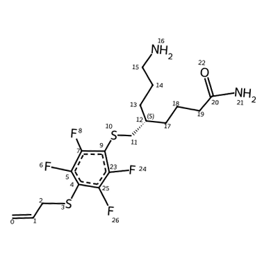 C=CCSc1c(F)c(F)c(SC[C@H](CCCN)CCCC(N)=O)c(F)c1F